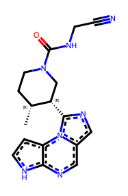 C[C@@H]1CCN(C(=O)NCC#N)C[C@@H]1c1ncc2cnc3[nH]ccc3n12